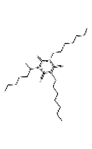 CCCCCCCn1c(=O)n(CCCCCCC)c(=O)n(C(C)CCCCC)c1=O